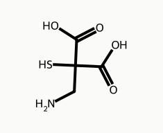 NCC(S)(C(=O)O)C(=O)O